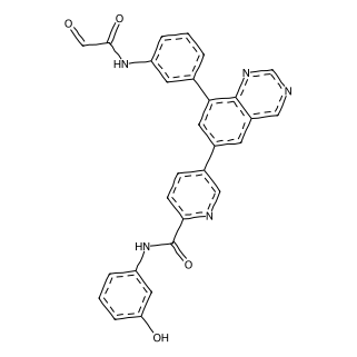 O=CC(=O)Nc1cccc(-c2cc(-c3ccc(C(=O)Nc4cccc(O)c4)nc3)cc3cncnc23)c1